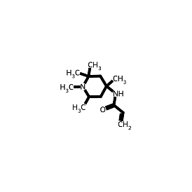 C=CC(=O)NC1(C)CC(C)N(C)C(C)(C)C1